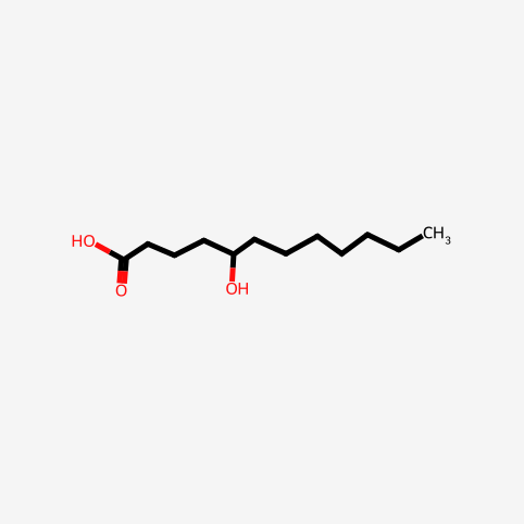 CCCCCCCC(O)CCCC(=O)O